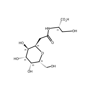 O=C(C[C@H]1O[C@H](CO)[C@H](O)[C@H](O)[C@H]1O)N[C@@H](CO)C(=O)O